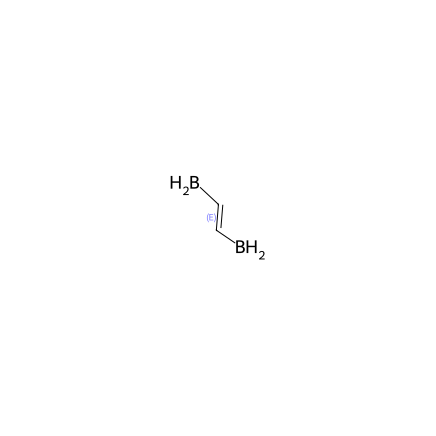 B/C=C/B